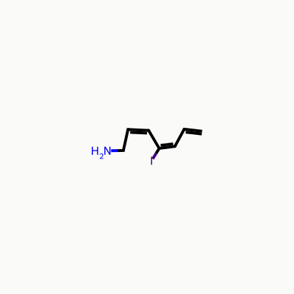 C=C/C=C(I)\C=C/CN